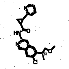 COC[C@@H](C)c1cc2cc(NC(=O)C3CC3c3ccccn3)ncc2cc1Cl